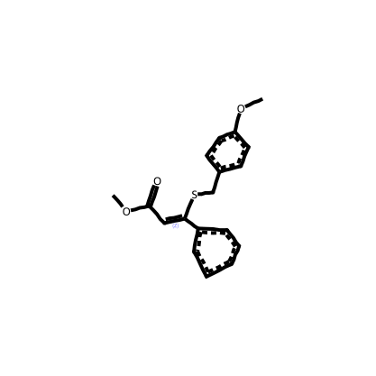 COC(=O)/C=C(\SCc1ccc(OC)cc1)c1ccccc1